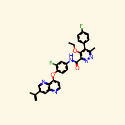 C=C(C)c1cnc2c(Oc3ccc(NC(=O)c4nnc(C)c(-c5ccc(F)cc5)c4OCC)cc3F)ccnc2c1